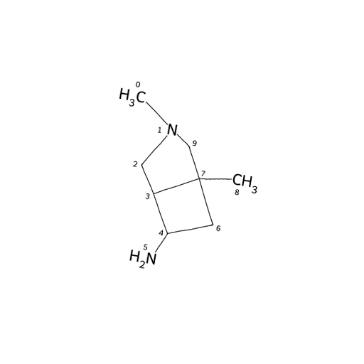 CN1CC2C(N)CC2(C)C1